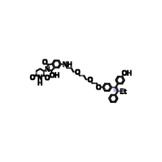 CC/C(=C(\c1ccc(O)cc1)c1ccc(OCCOCCCOCCCNc2ccc3c(c2)C(O)N(C2CCC(=O)NC2=O)C3=O)cc1)c1ccccc1